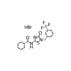 Br.O=C(Nc1nc(=O)n(Cc2cccc(C(F)(F)F)c2)s1)c1ccccc1